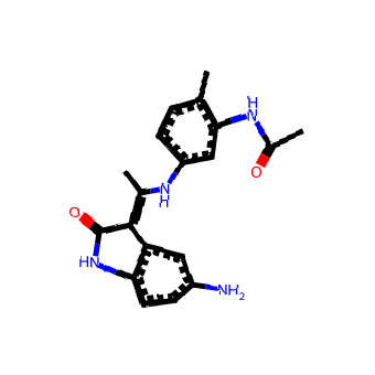 CC(=O)Nc1cc(NC(C)=C2C(=O)Nc3ccc(N)cc32)ccc1C